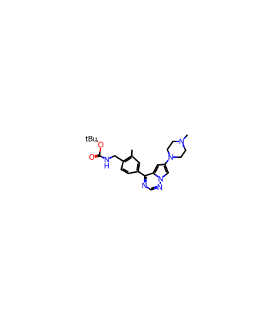 Cc1cc(-c2ncnn3cc(N4CCN(C)CC4)cc23)ccc1CNC(=O)OC(C)(C)C